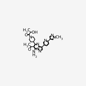 CC(=O)c1c(C2CCN(C(=O)[C@@H](C)O)CC2)nc2c(-c3ccc(-c4cnn(C)c4)nc3)cnn2c1N